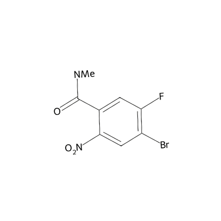 CNC(=O)c1cc(F)c(Br)cc1[N+](=O)[O-]